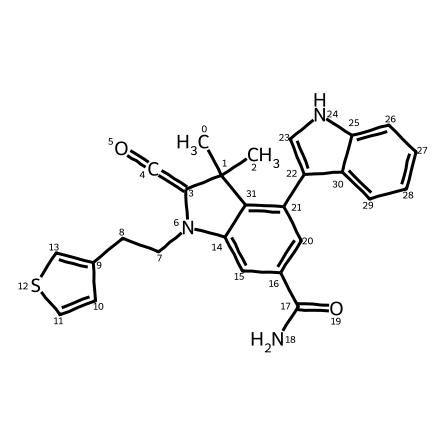 CC1(C)C(=C=O)N(CCc2ccsc2)c2cc(C(N)=O)cc(-c3c[nH]c4ccccc34)c21